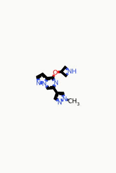 Cn1cc(-c2cn3nccc3c(OC3CNC3)n2)cn1